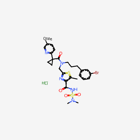 COc1ccc(C2(C(=O)N(CCCc3cccc(Br)c3)Cc3nc(C(=O)NS(=O)(=O)N(C)C)c(C)s3)CC2)nc1.Cl